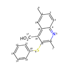 Cc1ccc2nc(C)c(Sc3ccccc3)c(C(=O)O)c2c1